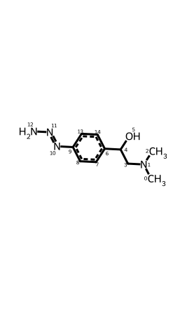 CN(C)CC(O)c1ccc(N=NN)cc1